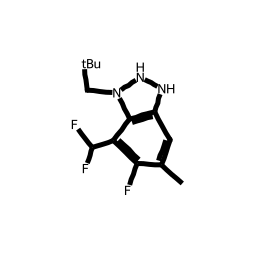 Cc1cc2c(c(C(F)F)c1F)N(CC(C)(C)C)NN2